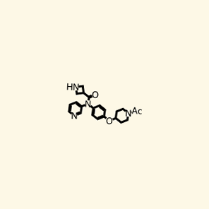 CC(=O)N1CCC(Oc2ccc(N(C(=O)C3CNC3)c3cccnc3)cc2)CC1